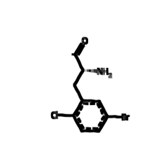 N[C@@H]([C]=O)Cc1cc(Br)ccc1Cl